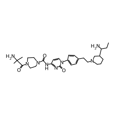 CCC(N)C1CCCN(CCc2ccc(-n3ccc(NC(=O)N4CCN(C(=O)C(C)(C)N)CC4)nc3=O)cc2)C1